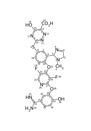 CN1CC=NC1c1cc(Sc2nnc(C(=O)O)c(O)n2)ccc1Oc1c(F)cnc(Oc2cc(C(=N)N)ccc2O)c1F